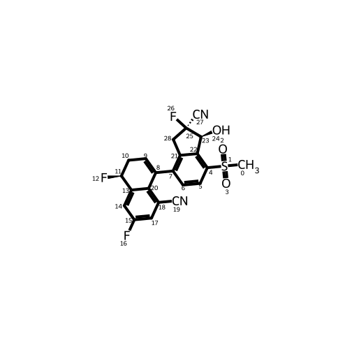 CS(=O)(=O)c1ccc(C2=CC[C@H](F)c3cc(F)cc(C#N)c32)c2c1[C@H](O)[C@@](F)(C#N)C2